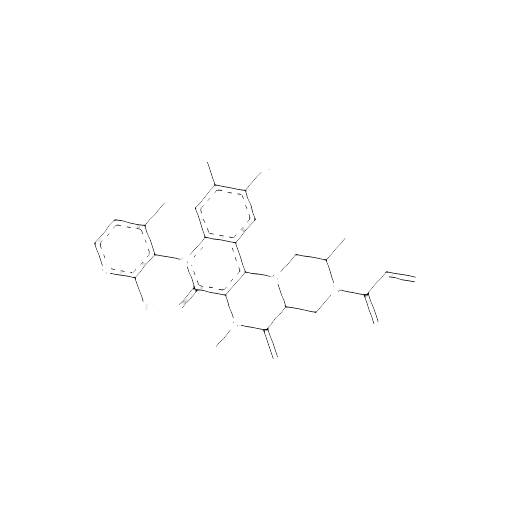 Bc1cc2c3c(c(=O)n(-c4c(C)ccnc4C(C)C)c2cc1Br)N(C)C(=C)C1CN(C(=C)C=C)C(C)CN31